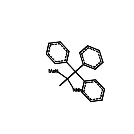 CNC(C)(NC)C(c1ccccc1)(c1ccccc1)c1ccccc1